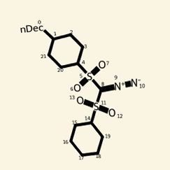 CCCCCCCCCCC1CCC(S(=O)(=O)C(=[N+]=[N-])S(=O)(=O)C2CCCCC2)CC1